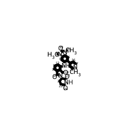 Cc1cc(-c2cc3c(cc2Nc2cccc4c2C(=O)N(C2CCC(=O)NC2=O)C4=O)n(C)c(=O)n3C)ccn1